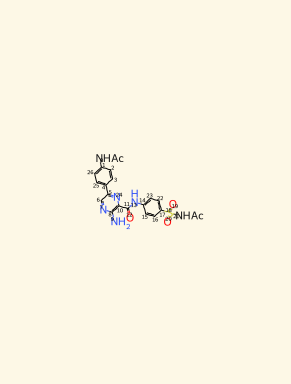 CC(=O)Nc1ccc(-c2cnc(N)c(C(=O)Nc3ccc(S(=O)(=O)NC(C)=O)cc3)n2)cc1